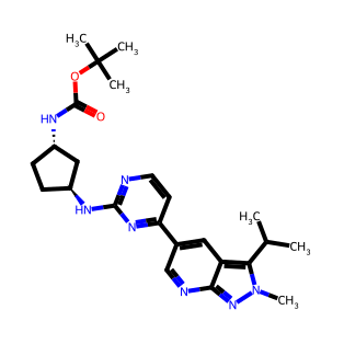 CC(C)c1c2cc(-c3ccnc(N[C@H]4CC[C@H](NC(=O)OC(C)(C)C)C4)n3)cnc2nn1C